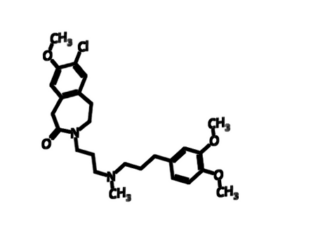 COc1cc2c(cc1Cl)CCN(CCCN(C)CCCc1ccc(OC)c(OC)c1)C(=O)C2